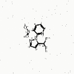 O=[N+]([O-])c1cccnc1-n1nc[c]c1C(F)F